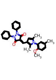 COc1ccc(C)cc1-n1c(C)cc(C=C2C(=O)N(c3ccccc3)N(c3ccccc3)C2=O)c1C